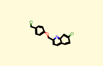 ClCc1ccc(OCc2ccc3ccc(Cl)cc3n2)cc1